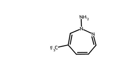 NN1C=C(C(F)(F)F)C=CC=N1